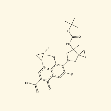 COc1c(N2CC3(CC3)C(C)(NC(=O)OC(C)(C)C)C2)c(F)cc2c(=O)c(C(=O)O)cn([C@@H]3C[C@@H]3F)c12